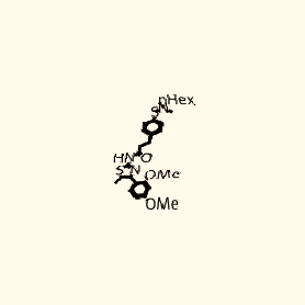 CCCCCCN(C)Sc1ccc(CCC(=O)NC2=NC(c3ccc(OC)cc3OC)C(C)S2)cc1